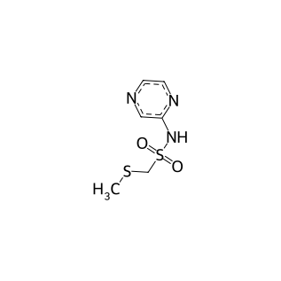 CSCS(=O)(=O)Nc1cnccn1